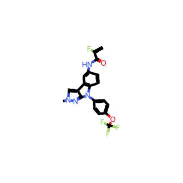 C=C(F)C(=O)Nc1ccc2c(c1)c1cn(C)nc1n2-c1ccc(OC(F)(F)F)cc1